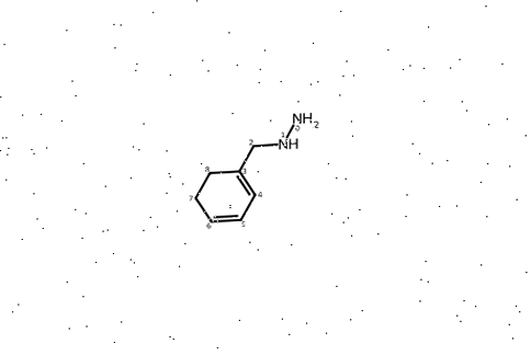 NNCC1=CC=CCC1